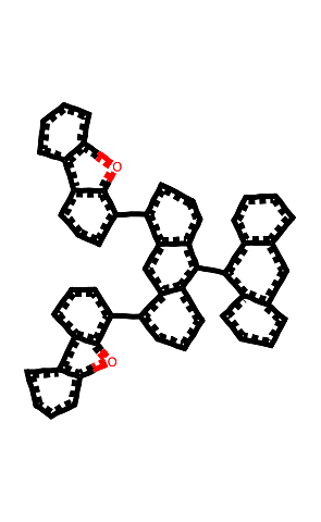 c1ccc2c(-c3c4cccc(-c5cccc6c5oc5ccccc56)c4cc4c(-c5cccc6c5oc5ccccc56)cccc34)c3ccccc3cc2c1